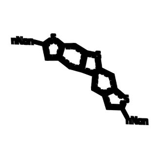 CCCCCCCCCc1cc2cc3c(cc2s1)sc1cc2sc(CCCCCCCCC)cc2cc13